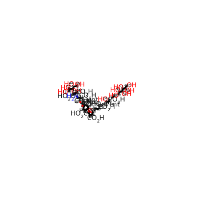 CC.CC(=O)O.CCCCC.CCCCCC.CCCCCCC.CCCCCCCC.N[C@@H](CC(=O)O)C(=O)O.O=C(O)/C=C/C(=O)O.O=C(O)CC(O)C(=O)O.O=C(O)CCC(=O)O.O=C(O)c1ccoc1C(=O)O.OCC(O)C(O)C(O)CO.OC[C@@H](O)[C@@H](O)[C@H](O)[C@@H](O)CO.c1ccccc1